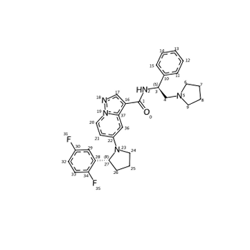 O=C(N[C@H](CN1CCCC1)c1ccccc1)c1cnn2ccc(N3CCC[C@@H]3c3cc(F)ccc3F)cc12